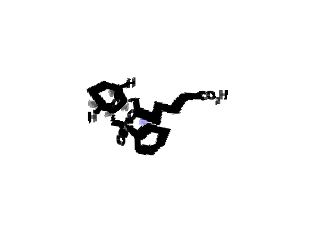 O=C(O)CCC/C=C\C[C@@H]1[C@H](CS(=O)(=O)c2ccccc2)[C@@H]2CC[C@H]1O2